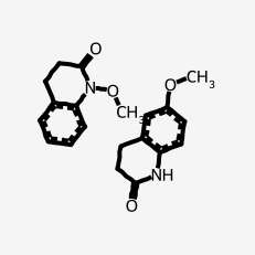 CON1C(=O)CCc2ccccc21.COc1ccc2c(c1)CCC(=O)N2